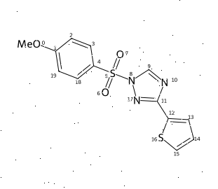 COc1ccc(S(=O)(=O)n2cnc(-c3cccs3)n2)cc1